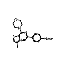 CNc1ccc(-c2cn3c(C)cnc3c(N3CCOCC3)n2)cc1